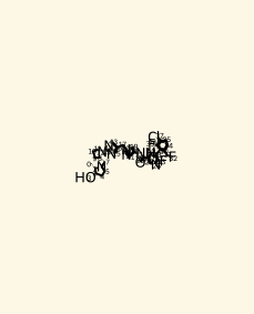 C[C@H]1[C@@H](O)CCN1C[C@@H]1CCCN1c1ncc(Cn2cc(NC(=O)c3cncc(-c4c(C(F)F)ccc(Cl)c4F)n3)cn2)cn1